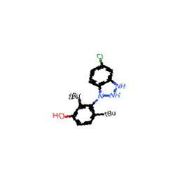 CC(C)(C)c1ccc(O)c(C(C)(C)C)c1N1NNc2cc(Cl)ccc21